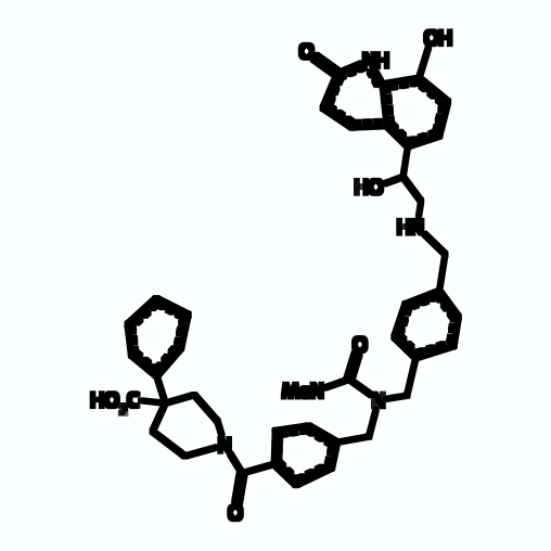 CNC(=O)N(Cc1ccc(CNCC(O)c2ccc(O)c3[nH]c(=O)ccc23)cc1)Cc1ccc(C(=O)N2CCC(C(=O)O)(c3ccccc3)CC2)cc1